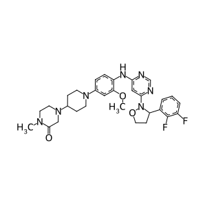 COc1cc(N2CCC(N3CCN(C)C(=O)C3)CC2)ccc1Nc1cc(N2OCCC2c2cccc(F)c2F)ncn1